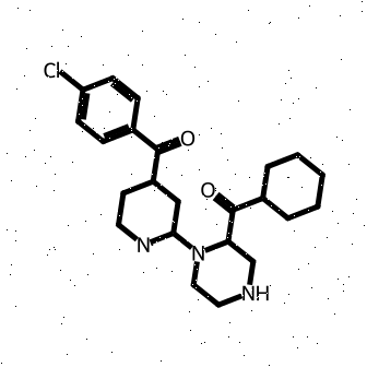 O=C(c1ccc(Cl)cc1)C1CC[N]C(N2CCNCC2C(=O)C2CCCCC2)C1